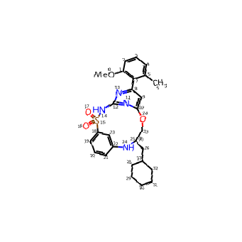 COc1cccc(C)c1-c1cc2nc(n1)NS(=O)(=O)c1cccc(c1)N[C@H](CC1CCCCC1)CO2